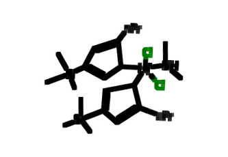 CCCC1=CC([Si](C)(C)C)=C[CH]1[Hf]([Cl])([Cl])([CH]1C=C([Si](C)(C)C)C=C1CCC)[SiH](C)C